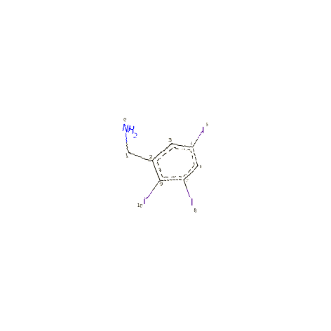 NCc1cc(I)cc(I)c1I